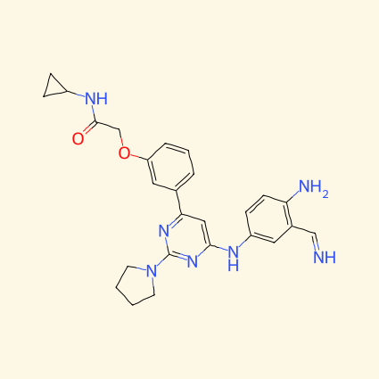 N=Cc1cc(Nc2cc(-c3cccc(OCC(=O)NC4CC4)c3)nc(N3CCCC3)n2)ccc1N